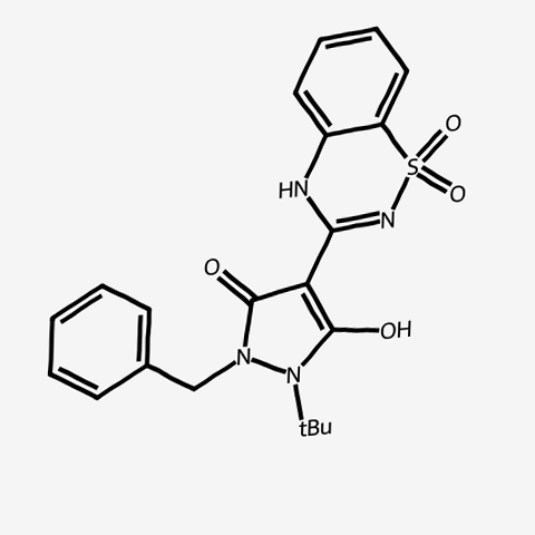 CC(C)(C)n1c(O)c(C2=NS(=O)(=O)c3ccccc3N2)c(=O)n1Cc1ccccc1